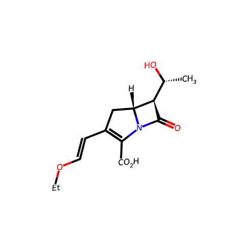 CCO/C=C/C1=C(C(=O)O)N2C(=O)[C@H]([C@@H](C)O)[C@H]2C1